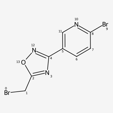 BrCc1nc(-c2ccc(Br)nc2)no1